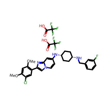 COc1cc(OC)c(-c2cn3ccc(N[C@H]4CC[C@@H](NCc5cccc(F)c5)CC4)cc3n2)cc1Cl.O=C(O)C(F)(F)F.O=C(O)C(F)(F)F